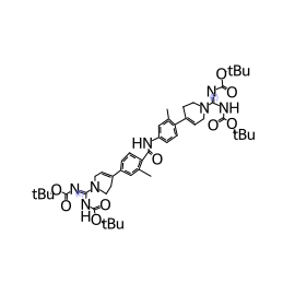 Cc1cc(C2=CCN(/C(=N/C(=O)OC(C)(C)C)NC(=O)OC(C)(C)C)CC2)ccc1C(=O)Nc1ccc(C2=CCN(/C(=N/C(=O)OC(C)(C)C)NC(=O)OC(C)(C)C)CC2)c(C)c1